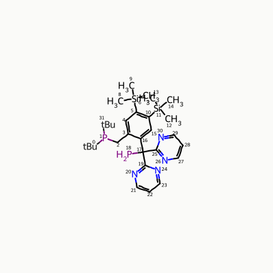 CC(C)(C)P(Cc1cc([Si](C)(C)C)c([Si](C)(C)C)cc1C(P)(c1ncccn1)c1ncccn1)C(C)(C)C